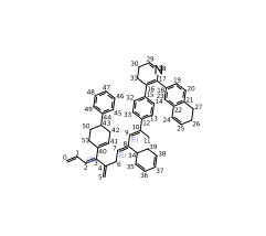 C=C/C=C(/C(=C)C/C=C(/C=C(\C)c1ccc(C2=C(c3ccc4c(c3)C=CCC4)N=CCC2)cc1)C1C=CC=CC1)C1=CCC(c2ccccc2)CC1